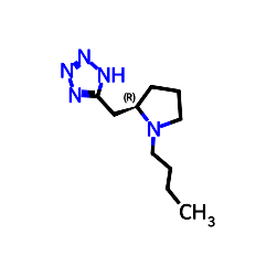 CCCCN1CCC[C@@H]1Cc1nnn[nH]1